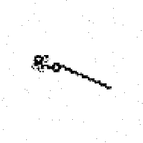 CCCCCCCCCCCCCCCCCc1ccc(C=CC(=O)c2c(OC)cccc2OC)cc1